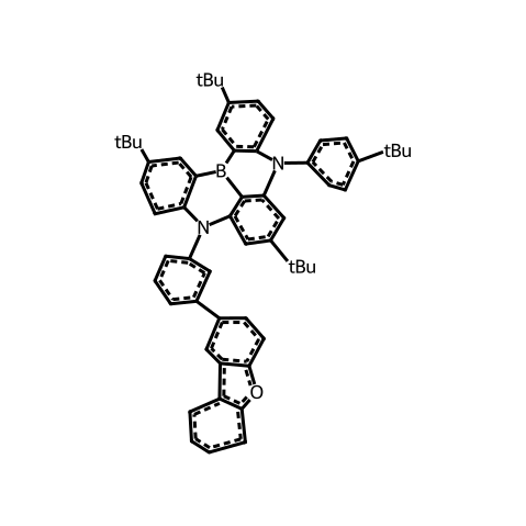 CC(C)(C)c1ccc(N2c3ccc(C(C)(C)C)cc3B3c4cc(C(C)(C)C)ccc4N(c4cccc(-c5ccc6oc7ccccc7c6c5)c4)c4cc(C(C)(C)C)cc2c43)cc1